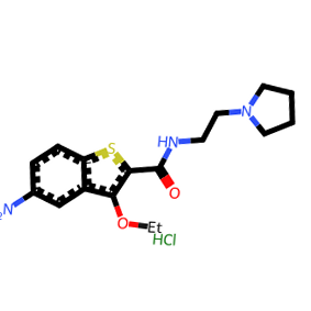 CCOc1c(C(=O)NCCN2CCCC2)sc2ccc(N)cc12.Cl